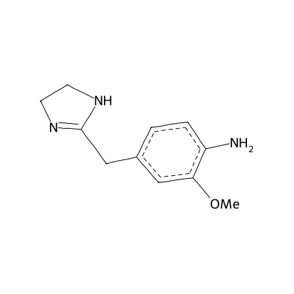 COc1cc(CC2=NCCN2)ccc1N